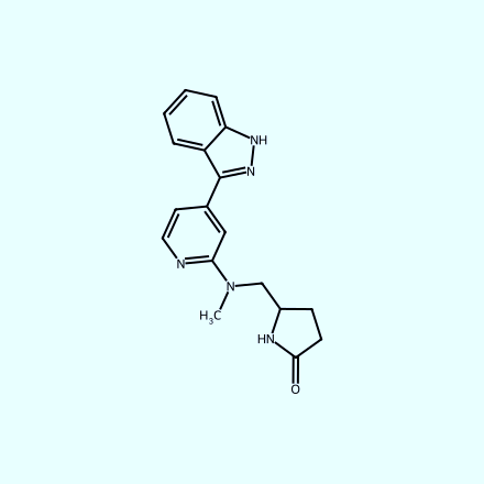 CN(CC1CCC(=O)N1)c1cc(-c2n[nH]c3ccccc23)ccn1